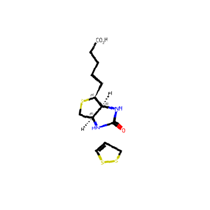 C1=CSSC1.O=C(O)CCCC[C@@H]1SC[C@@H]2NC(=O)N[C@@H]21